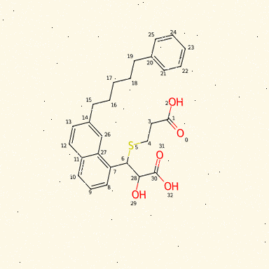 O=C(O)CCSC(c1cccc2ccc(CCCCCc3ccccc3)cc12)C(O)C(=O)O